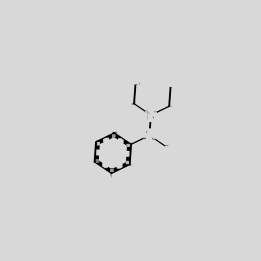 CCN(CC)N(C)c1ccccc1